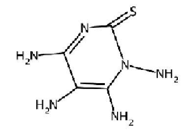 Nc1nc(=S)n(N)c(N)c1N